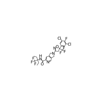 CCC(CC)(NC(=O)c1cc2c(cn1)CN(C1=NOC(c3cc(Cl)c(F)c(Cl)c3)(C(F)(F)F)C1)C2)C(F)(F)F